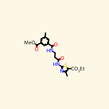 CCOC(=O)c1sc(NC(=O)CCNC(=O)c2cc(C)cc(C(=O)OC)c2)nc1C